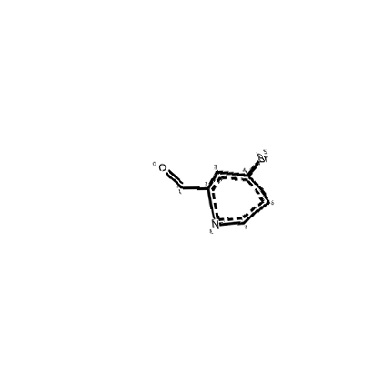 O=[C]c1cc(Br)ccn1